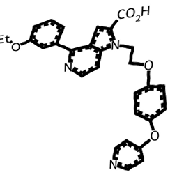 CCOc1cccc(-c2nccc3c2cc(C(=O)O)n3CCOc2ccc(Oc3ccncc3)cc2)c1